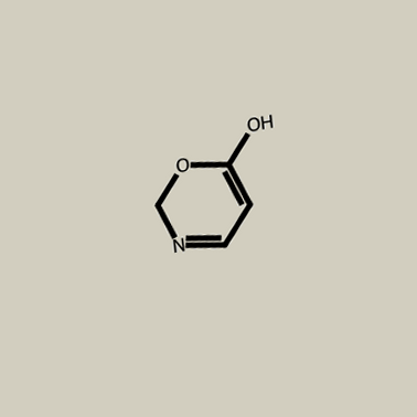 OC1=CC=NCO1